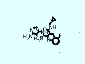 C[C@H](Nc1ncnc(N)c1C#N)c1nc2cccc(F)c2cc1C(=O)NCC1CC1